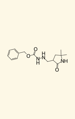 CC1(C)CC(CNNC(=O)OCc2ccccc2)C(=O)N1